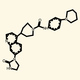 O=C(Nc1ccc(N2CCCCC2)cc1)N1CCC(c2ccnc3cc(N4CCNC4=O)ccc23)CC1